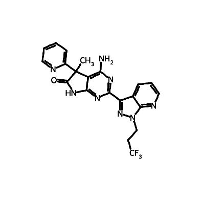 CC1(c2ccccn2)C(=O)Nc2nc(-c3nn(CCC(F)(F)F)c4ncccc34)nc(N)c21